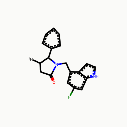 [2H]C1CC(=O)N(Cc2cc(F)cc3[nH]ccc23)C1c1ccccc1